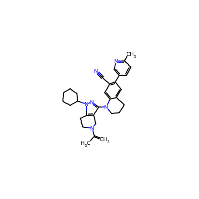 C=C(C)N1CCc2c(c(N3CCCc4cc(-c5ccc(C)nc5)c(C#N)cc43)nn2C2CCCCC2)C1